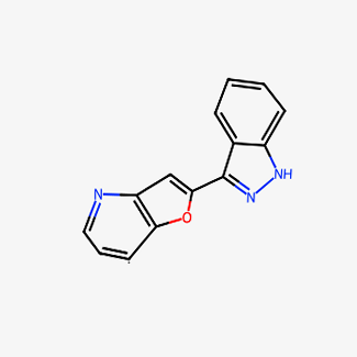 [c]1ccnc2cc(-c3n[nH]c4ccccc34)oc12